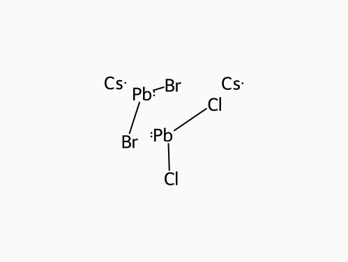 [Br][Pb][Br].[Cl][Pb][Cl].[Cs].[Cs]